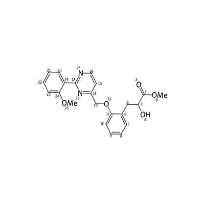 COC(=O)C(O)Cc1ccccc1OCc1ccnc(-c2ccccc2OC)n1